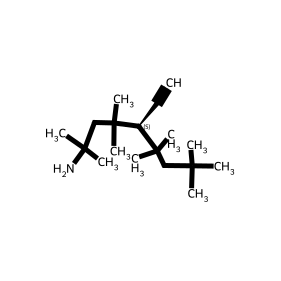 C#C[C@@H](C(C)(C)CC(C)(C)C)C(C)(C)CC(C)(C)N